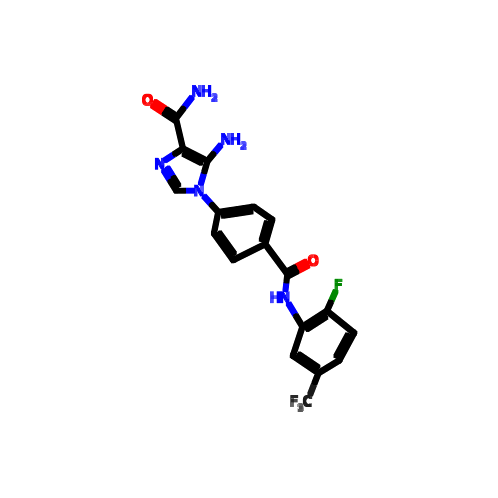 NC(=O)c1ncn(-c2ccc(C(=O)Nc3cc(C(F)(F)F)ccc3F)cc2)c1N